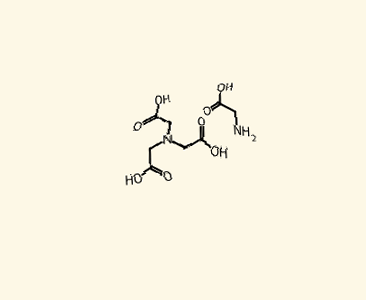 NCC(=O)O.O=C(O)CN(CC(=O)O)CC(=O)O